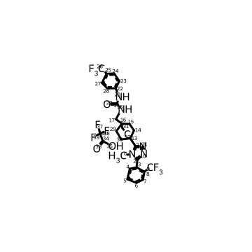 Cn1c(-c2ccccc2C(F)(F)F)nnc1C12CCC(CNC(=O)Nc3ccc(C(F)(F)F)cc3)(CC1)CC2.O=C(O)C(F)(F)F